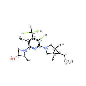 C[C@H]1[C@H](O)CN1c1nc(N2C[C@@H]3C(CC(=O)O)[C@@H]3C2)c(F)c(C(C)(F)F)c1C#N